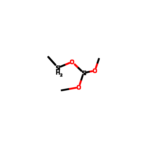 CO[Si](OC)O[SiH2]C